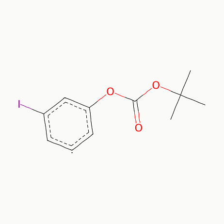 CC(C)(C)OC(=O)Oc1c[c]cc(I)c1